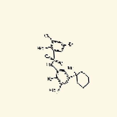 N#CC1(c2cc(NS(=O)(=O)c3cc(Br)cc(Cl)c3O)c(O)c(C(=O)O)c2)CCCCC1